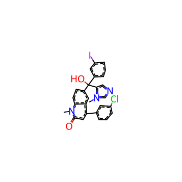 Cn1cncc1C(O)(c1cccc(I)c1)c1ccc2c(c1)c(-c1cccc(Cl)c1)cc(=O)n2C